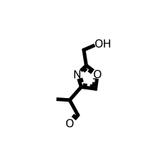 CC(C=O)c1coc(CO)n1